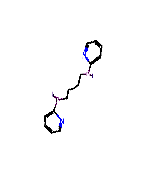 IP(CCCCP(I)c1ccccn1)c1ccccn1